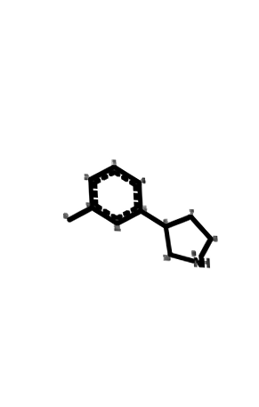 Cc1cccc(C2CCNC2)c1